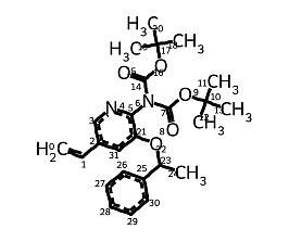 C=Cc1cnc(N(C(=O)OC(C)(C)C)C(=O)OC(C)(C)C)c(OC(C)c2ccccc2)c1